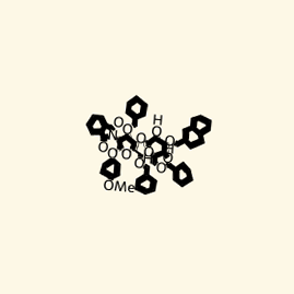 COc1ccc(O[C@@H]2O[C@H](COCc3ccccc3)[C@@H](O[C@@H]3O[C@@H]4COC(c5ccccc5)O[C@H]4[C@H](OCc4ccc5ccccc5c4)[C@@H]3O)[C@H](OCc3ccccc3)[C@H]2N2C(=O)c3ccccc3C2=O)cc1